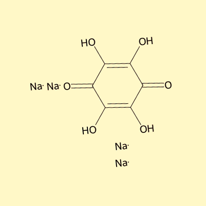 O=C1C(O)=C(O)C(=O)C(O)=C1O.[Na].[Na].[Na].[Na]